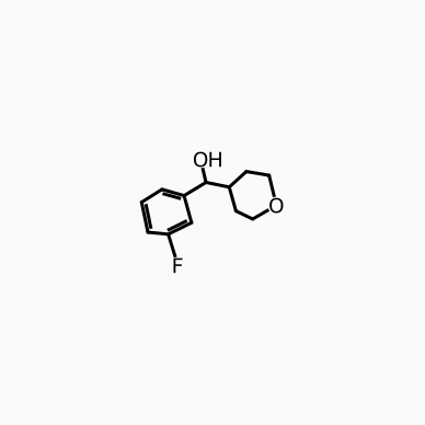 OC(c1cccc(F)c1)C1CCOCC1